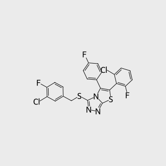 Fc1ccc(-c2c(-c3c(F)cccc3Cl)sc3nnc(SCc4ccc(F)c(Cl)c4)n23)cc1